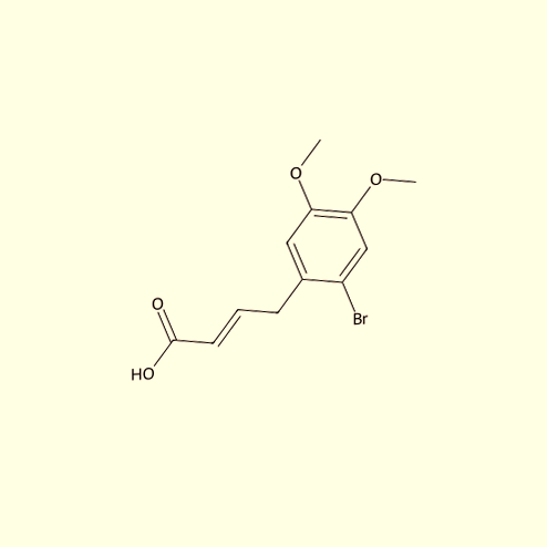 COc1cc(Br)c(CC=CC(=O)O)cc1OC